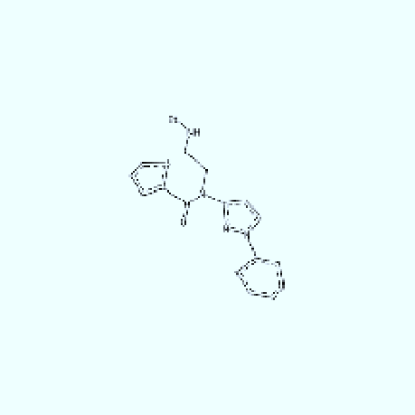 CCNCCN(C(=O)c1cccs1)c1ccn(-c2ccccc2)n1